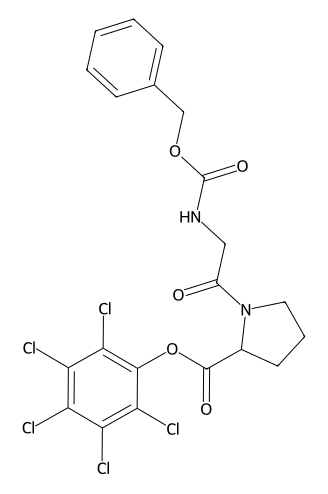 O=C(NCC(=O)N1CCCC1C(=O)Oc1c(Cl)c(Cl)c(Cl)c(Cl)c1Cl)OCc1ccccc1